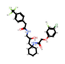 O=C(Cc1ccc(C(F)(F)F)cc1)NCC(O)CC1(NC(=O)COc2ccc(Cl)c(F)c2)CCCCC1